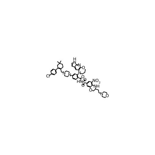 CC1(C)CCC(CN2CCN(c3ccc(C(=O)NS(=O)(=O)c4cc5c(c([N+](=O)[O-])c4)NC(CCN4CCOCC4)CO5)c(N4CCCOc5nc6[nH]ccc6cc54)c3)CC2)=C(c2ccc(Cl)cc2)C1